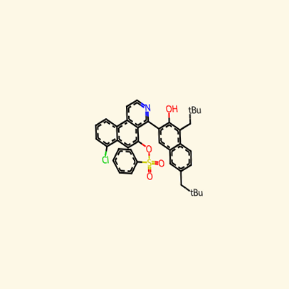 CC(C)(C)Cc1ccc2c(CC(C)(C)C)c(O)c(-c3nccc4c3c(OS(=O)(=O)c3ccccc3)cc3c(Cl)cccc34)cc2c1